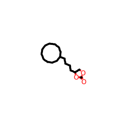 O=C1OCC(CCCCC2CCCCCCCCCCC2)O1